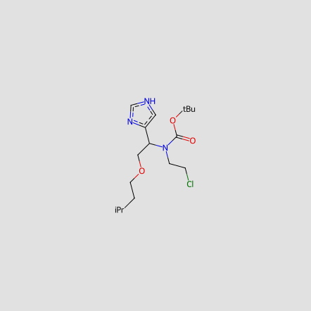 CC(C)CCOCC(c1c[nH]cn1)N(CCCl)C(=O)OC(C)(C)C